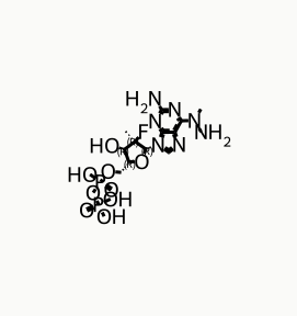 CN(N)c1nc(N)nc2c1ncn2[C@@H]1O[C@H](COP(=O)(O)OP(=O)(O)O)[C@@H](O)[C@@]1(C)F